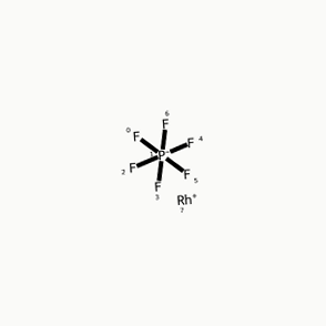 F[P-](F)(F)(F)(F)F.[Rh+]